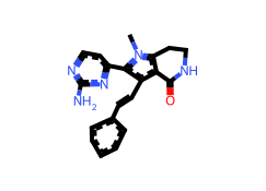 Cn1c2c(c(C=Cc3ccccc3)c1-c1ccnc(N)n1)C(=O)NCC2